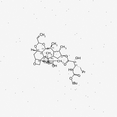 C=CC1O[C@H]2CC3OC[C@@]3(OC(C)=O)[C@H]3[C@H](C)[C@]4(C(C)(C)O)C[C@H](OC(=O)[C@H](O)[C@H](CC(C)C)NC(=O)OC(C)(C)C)C(C)=C4[C@H](C)[C@H](O1)[C@]23C